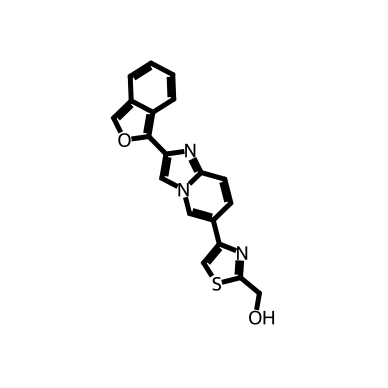 OCc1nc(-c2ccc3nc(-c4occ5ccccc45)cn3c2)cs1